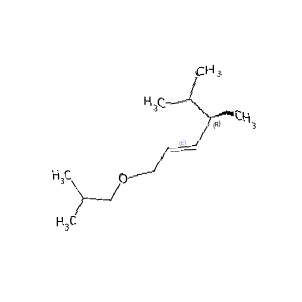 CC(C)COC/C=C/[C@H](C)C(C)C